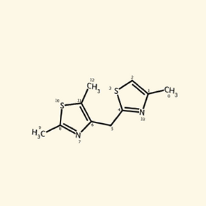 Cc1csc(Cc2nc(C)sc2C)n1